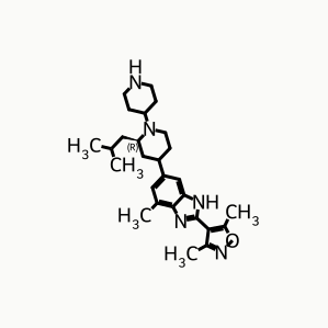 Cc1noc(C)c1-c1nc2c(C)cc(C3CCN(C4CCNCC4)[C@H](CC(C)C)C3)cc2[nH]1